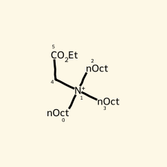 CCCCCCCC[N+](CCCCCCCC)(CCCCCCCC)CC(=O)OCC